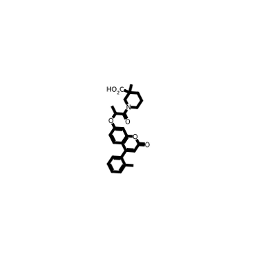 Cc1ccccc1-c1cc(=O)oc2cc(OC(C)C(=O)N3CCCC(C)(C(=O)O)C3)ccc12